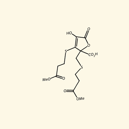 COC(=O)CCSCC1(C(=O)O)OC(=O)C(O)=C1SCCC(=O)OC